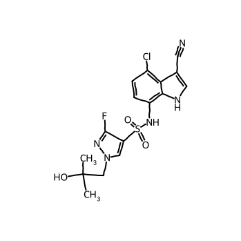 CC(C)(O)Cn1cc(S(=O)(=O)Nc2ccc(Cl)c3c(C#N)c[nH]c23)c(F)n1